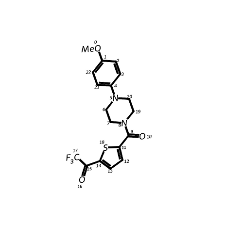 COc1ccc(N2CCN(C(=O)c3ccc(C(=O)C(F)(F)F)s3)CC2)cc1